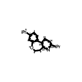 CC(C)c1ccc2c(c1)OCCc1nc(C(C)C)ccc1-2